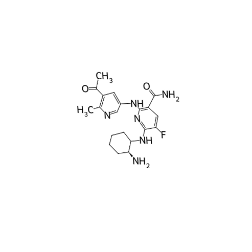 CC(=O)c1cc(Nc2nc(NC3CCCC[C@@H]3N)c(F)cc2C(N)=O)cnc1C